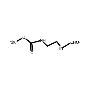 CC(C)(C)OC(=O)NCCN[C]=O